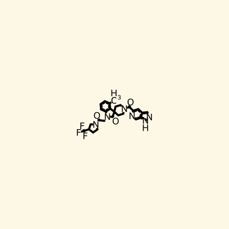 Cc1cccc2c1C1(CCN(C(=O)c3cc4cn[nH]c4cn3)CC1)C(=O)N2CC(=O)N1CCC(C(F)(F)F)C1